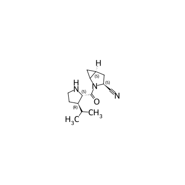 CC(C)[C@H]1CCN[C@@H]1C(=O)N1C2C[C@H]2C[C@H]1C#N